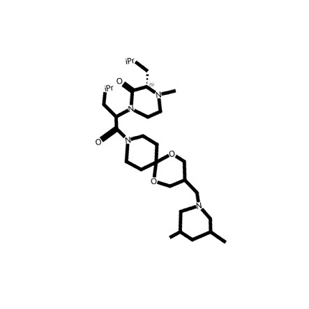 CC(C)CC(C(=O)N1CCC2(CC1)OCC(CN1CC(C)CC(C)C1)CO2)N1CCN(C)[C@@H](CC(C)C)C1=O